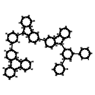 c1ccc(-c2cc(-n3c4ccccc4c4cc(-c5ccc6c(c5)c5ccccc5n6-c5cccc(-c6ccc7c8ccccc8c8ccccc8c7c6)c5)ccc43)cc(-c3ccccc3)n2)cc1